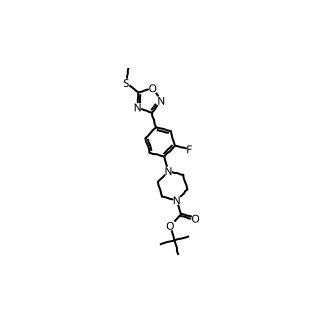 CSc1nc(-c2ccc(N3CCN(C(=O)OC(C)(C)C)CC3)c(F)c2)no1